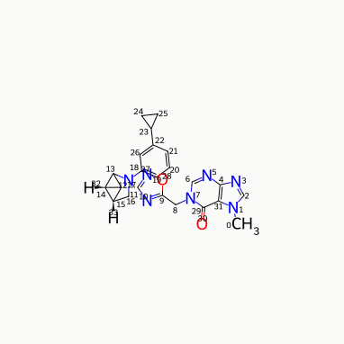 Cn1cnc2ncn(Cc3nc([C@@]45C6[C@H]4[C@H]5CN6c4cccc(C5CC5)c4)no3)c(=O)c21